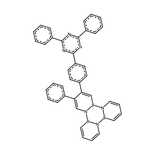 C1=CB2N3C=CC=CB3N3C=C(c4ccccc4)C(c4ccc(-c5nc(-c6ccccc6)nc(-c6ccccc6)n5)cc4)=CB3N2C=C1